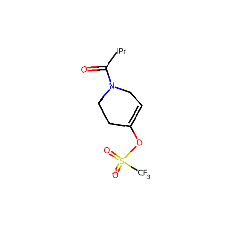 CC(C)C(=O)N1CC=C(OS(=O)(=O)C(F)(F)F)CC1